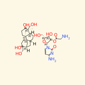 C[C@@]1(CO)[C@H](O)CC[C@@]2(C)[C@H]1CC[C@H]1C[C@@H]3C[C@@]12CC[C@]3(O)CO.NCC(=O)O[C@H]1[C@H](O)[C@@H](CO)O[C@H]1n1ccc(N)nc1=O